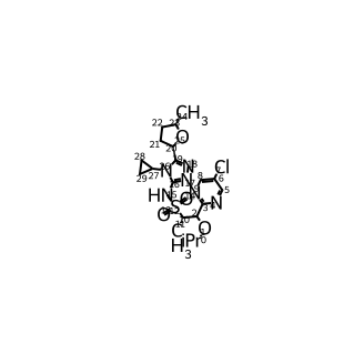 CC(C)OC(c1ncc(Cl)cn1)[C@H](C)S(=O)(=O)Nc1nnc([C@H]2CC[C@@H](C)O2)n1C1CC1